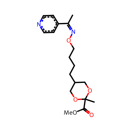 COC(=O)C1(C)OCC(CCCCON=C(C)c2ccncc2)CO1